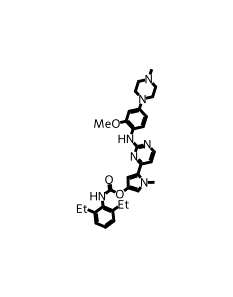 CCc1cccc(CC)c1NC(=O)Oc1cc(-c2ccnc(Nc3ccc(N4CCN(C)CC4)cc3OC)n2)n(C)c1